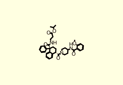 COc1ccccc1C(=O)NC1CCN(C(=O)[C@H]2CC[C@@](C(=O)NCCC(=O)OC(C)C)(c3ccccc3)c3ccccc32)CC1